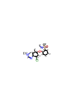 CCN(C)/C=N\c1cc(C)c(Oc2ccccc2S(=O)(=NC)C(F)(F)F)cc1Cl